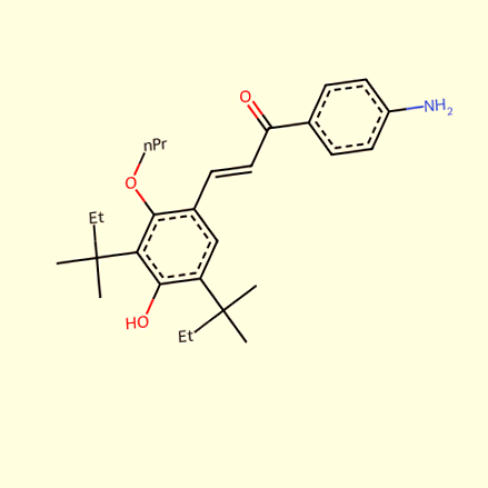 CCCOc1c(/C=C/C(=O)c2ccc(N)cc2)cc(C(C)(C)CC)c(O)c1C(C)(C)CC